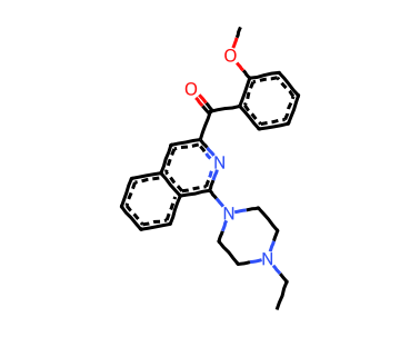 CCN1CCN(c2nc(C(=O)c3ccccc3OC)cc3ccccc23)CC1